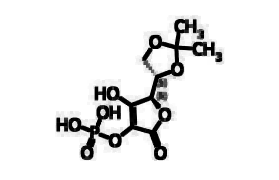 CC1(C)OC[C@@H]([C@H]2OC(=O)C(OP(=O)(O)O)=C2O)O1